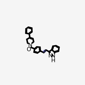 O=C(c1ccc(/C=C/c2n[nH]c3ccccc23)cc1)N1CC=C(c2ccccc2)CC1